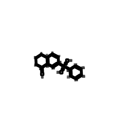 O=C1CCCc2ccc(S(=O)(=O)c3ccccc3)cc21